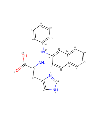 NC(Cc1c[nH]cn1)C(=O)O.c1ccc(Nc2ccc3ccccc3c2)cc1